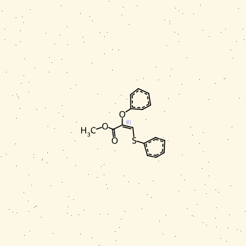 COC(=O)/C(=C\Sc1ccccc1)Oc1ccccc1